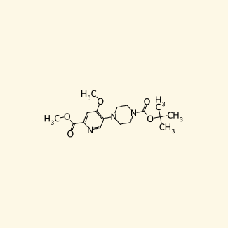 COC(=O)c1cc(OC)c(N2CCN(C(=O)OC(C)(C)C)CC2)cn1